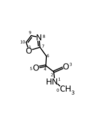 CNC(=O)C(=O)Cc1ncco1